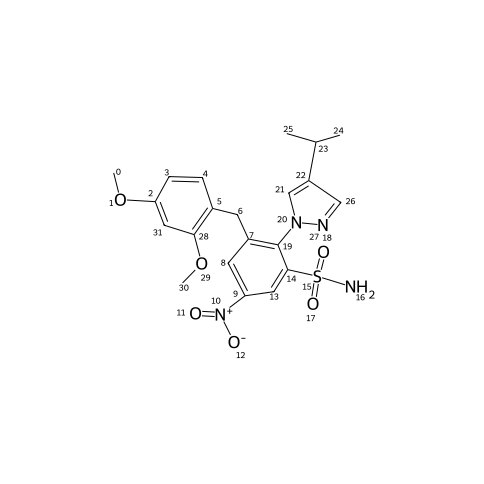 COc1ccc(Cc2cc([N+](=O)[O-])cc(S(N)(=O)=O)c2-n2cc(C(C)C)cn2)c(OC)c1